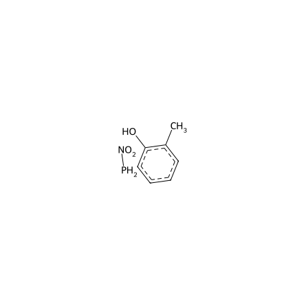 Cc1ccccc1O.O=[N+]([O-])P